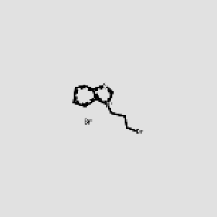 BrCCC[n+]1csc2ccccc21.[Br-]